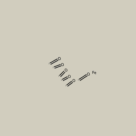 [C]=O.[C]=O.[C]=O.[C]=O.[C]=O.[C]=O.[Fe]